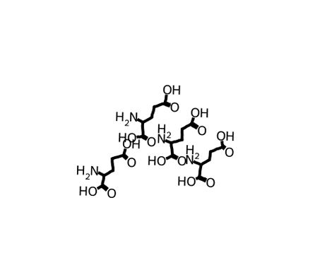 NC(CCC(=O)O)C(=O)O.NC(CCC(=O)O)C(=O)O.NC(CCC(=O)O)C(=O)O.NC(CCC(=O)O)C(=O)O